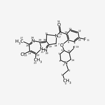 CCCN1CCC(Oc2cc(F)ccc2C(=O)N2Cc3nn4c(C)c(Cl)c(C)nc4c3C2)C(F)C1